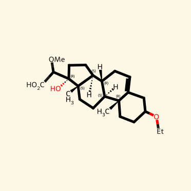 CCOC1CC[C@@]2(C)C(=CC[C@@H]3[C@@H]2CC[C@@]2(C)[C@H]3CC[C@]2(O)C(OC)C(=O)O)C1